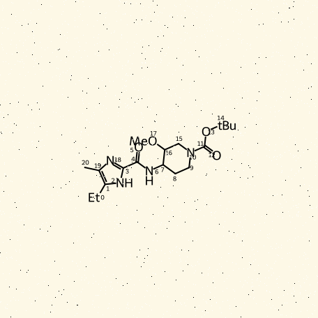 CCc1[nH]c(C(=O)NC2CCN(C(=O)OC(C)(C)C)CC2OC)nc1C